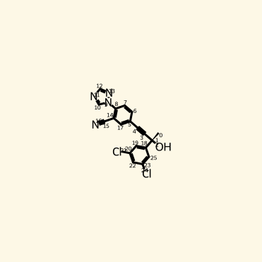 C[C@](O)(C#Cc1ccc(-n2cncn2)c(C#N)c1)c1cc(Cl)cc(Cl)c1